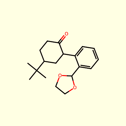 CC(C)(C)C1CCC(=O)C(c2ccccc2C2OCCO2)C1